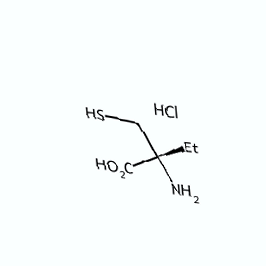 CC[C@](N)(CS)C(=O)O.Cl